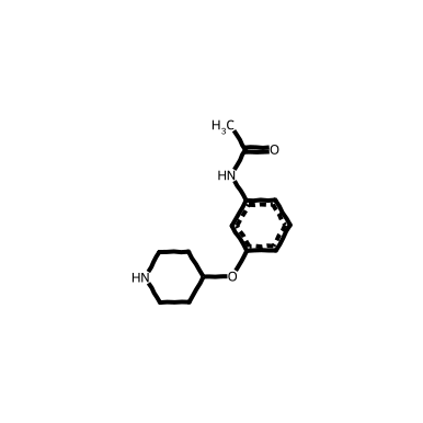 CC(=O)Nc1cccc(OC2CCNCC2)c1